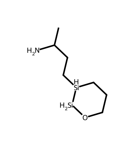 CC(N)CC[SiH]1CCCO[SiH2]1